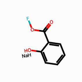 O=C(OF)c1ccccc1O.[NaH]